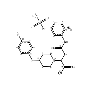 CS(=O)(=O)Nc1cccc(NC(=O)CC(C(N)=O)N2CCC(Cc3ccc(F)cc3)CC2)c1.Cl